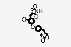 CN1C(=O)OCC1Cc1ccc(Oc2ccc(C=C3SC(=O)NC3=O)c(Cl)c2)cc1